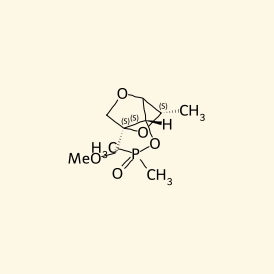 COC[C@@]12COC([C@H](C)O1)[C@@H]2OP(C)(C)=O